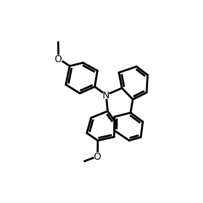 COc1ccc(N(c2ccc(OC)cc2)c2ccccc2-c2ccccc2)cc1